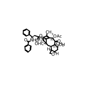 CC(=O)O[C@H]1C(=O)[C@@]2(C)C(C[C@]3(C=O)C[C@H](OC(=O)C[C@@H](NC(=O)c4ccccc4)c4ccccc4)C(C)=C1C3(C)C)[C@@H]1CO[C@@H]1C[C@@H]2O